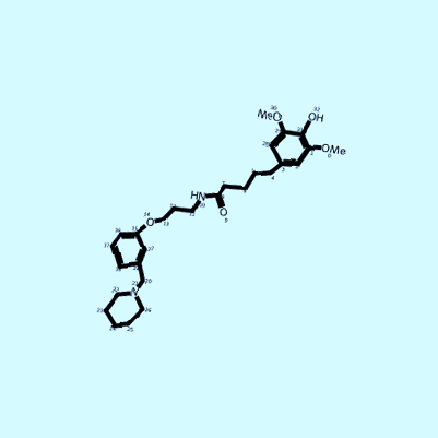 COc1cc(CCCCC(=O)NCCCOc2cccc(CN3CCCCC3)c2)cc(OC)c1O